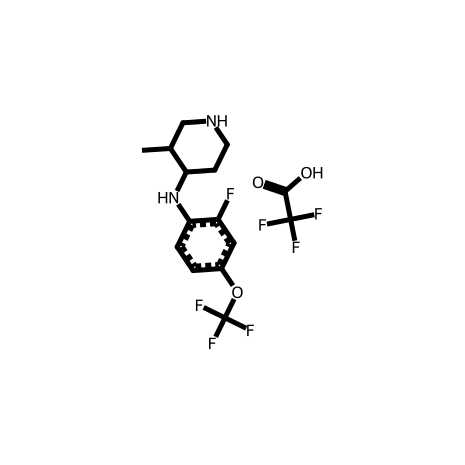 CC1CNCCC1Nc1ccc(OC(F)(F)F)cc1F.O=C(O)C(F)(F)F